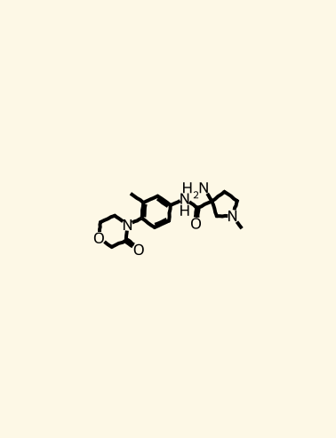 Cc1cc(NC(=O)C2(N)CCN(C)C2)ccc1N1CCOCC1=O